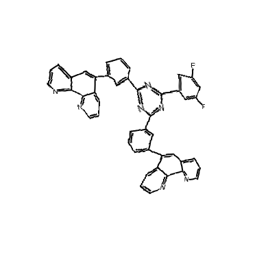 Fc1cc(F)cc(-c2nc(-c3cccc(-c4cc5cccnc5c5ncccc45)c3)nc(-c3cccc(-c4cc5cccnc5c5ncccc45)c3)n2)c1